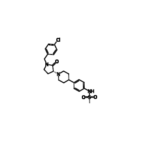 CS(=O)(=O)Nc1ccc(C2CCN([C@@H]3CCN(Cc4ccc(Cl)cc4)C3=O)CC2)cc1